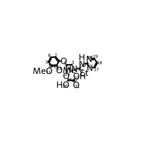 CCC(NCCOc1cccc(OC)c1OC)Nc1ncccn1.O=C(O)C(=O)O